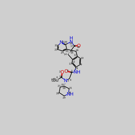 CC(C)(C)C(=O)N(CC(=O)Nc1ccc2c(c1)C[C@@]1(C2)C(=O)Nc2ncccc21)[C@H]1CCCNC1